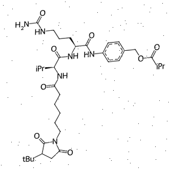 CC(C)C(=O)OCc1ccc(NC(=O)[C@H](CCCNC(N)=O)NC(=O)[C@@H](NC(=O)CCCCCN2C(=O)CC(C(C)(C)C)C2=O)C(C)C)cc1